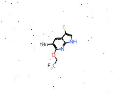 CC(C)(C)c1cc2c(F)c[nH]c2nc1OCC(F)(F)F